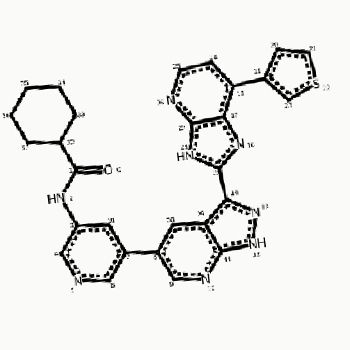 O=C(Nc1cncc(-c2cnc3[nH]nc(-c4nc5c(-c6ccsc6)ccnc5[nH]4)c3c2)c1)C1CCCCC1